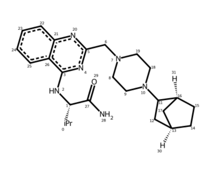 CC(C)[C@H](Nc1nc(CN2CCN(C3C[C@@H]4CC[C@H]3C4)CC2)nc2ccccc12)C(N)=O